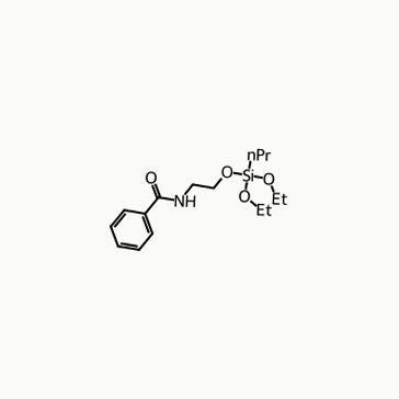 CCC[Si](OCC)(OCC)OCCNC(=O)c1ccccc1